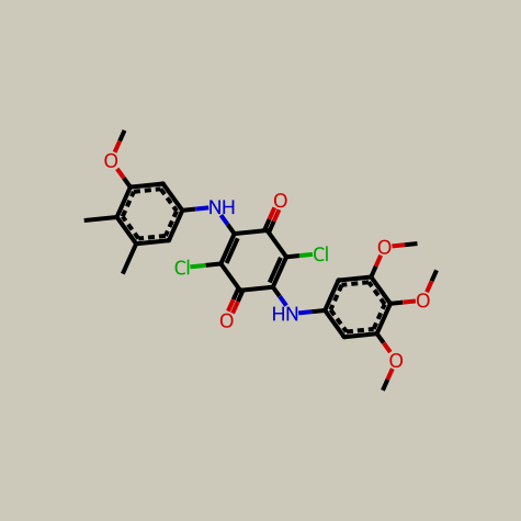 COc1cc(NC2=C(Cl)C(=O)C(Nc3cc(OC)c(OC)c(OC)c3)=C(Cl)C2=O)cc(C)c1C